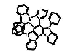 c1ccc(-n2c3ccccc3c3c4c5ccccc5n(-c5ccccc5)c4c4c(c32)B2c3ccccc3-c3ccccc3N2c2ccccc2-4)cc1